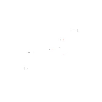 CCOC(=O)Oc1[c]ccc(C)c1C